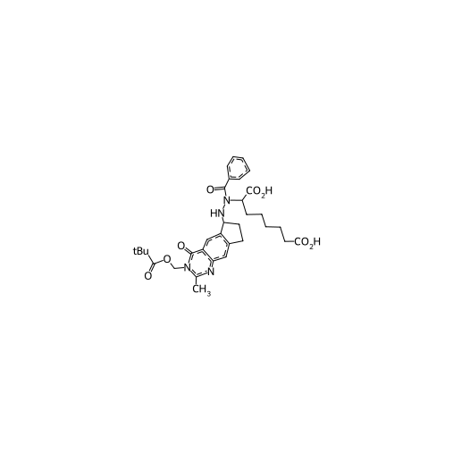 Cc1nc2cc3c(cc2c(=O)n1COC(=O)C(C)(C)C)C(NN(C(=O)c1ccccc1)C(CCCCCC(=O)O)C(=O)O)CC3